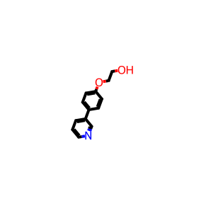 OCCOc1ccc(-c2cccnc2)cc1